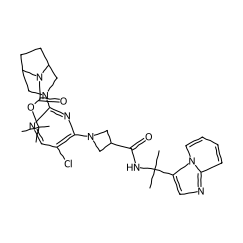 CC(C)(C)OC(=O)N1C2CCC1CN(c1ncc(Cl)c(N3CC(C(=O)NC(C)(C)c4cnc5ccccn45)C3)n1)C2